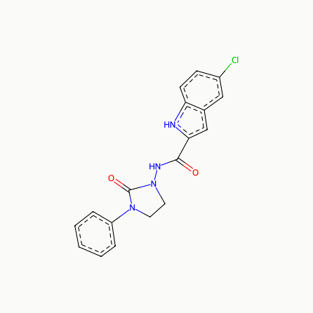 O=C(NN1CCN(c2ccccc2)C1=O)c1cc2cc(Cl)ccc2[nH]1